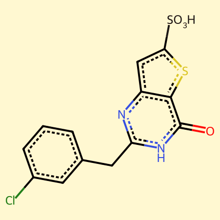 O=c1[nH]c(Cc2cccc(Cl)c2)nc2cc(S(=O)(=O)O)sc12